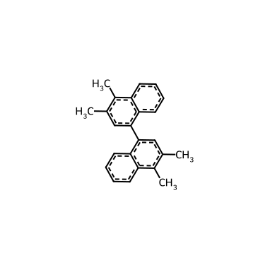 Cc1cc(-c2cc(C)c(C)c3ccccc23)c2ccccc2c1C